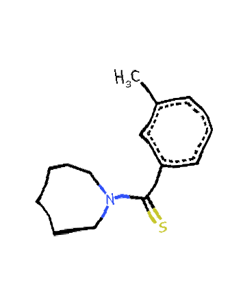 Cc1cccc(C(=S)N2CCCCC2)c1